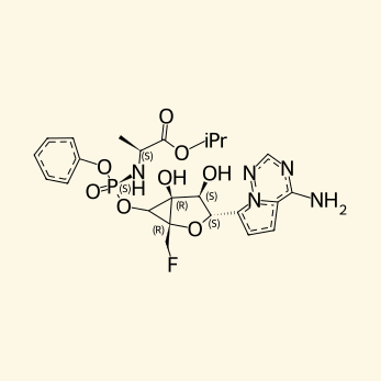 CC(C)OC(=O)[C@H](C)N[P@@](=O)(Oc1ccccc1)OC1[C@@]2(CF)O[C@@H](c3ccc4c(N)ncnn34)[C@H](O)[C@@]12O